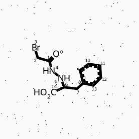 O=C(CBr)NNC(Cc1ccccc1)C(=O)O